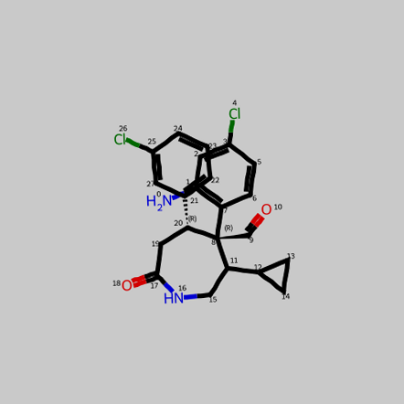 Nc1cc(Cl)ccc1[C@]1(C=O)C(C2CC2)CNC(=O)C[C@@H]1c1cccc(Cl)c1